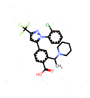 CC(c1cc(-c2cc(C(F)(F)F)nn2-c2ccccc2Cl)ccc1C(=O)O)N1CCCCC1